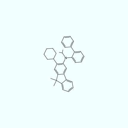 CC(C)N(c1ccccc1-c1ccccc1)c1cc2c(cc1C1CCCCC1)C(C)(C)c1ccccc1-2